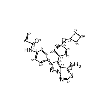 C=CC(=O)Nc1ccc(-c2nn3ncnc(N)c3c2-c2ccc(OC3CCC3)nc2)cc1